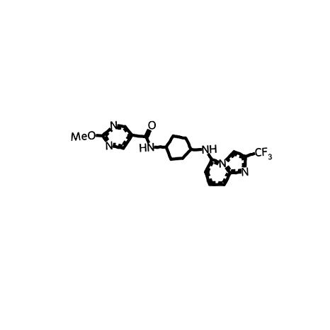 COc1ncc(C(=O)NC2CCC(Nc3cccc4nc(C(F)(F)F)cn34)CC2)cn1